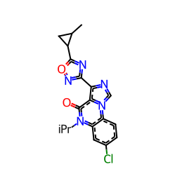 CC1CC1c1nc(-c2ncn3c2c(=O)n(C(C)C)c2cc(Cl)ccc23)no1